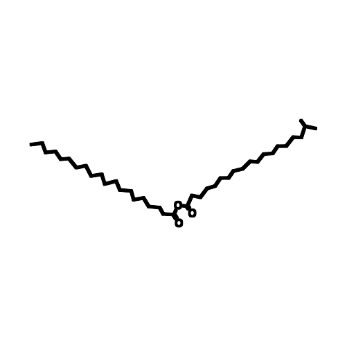 CCCCCCCCCCCCCCCCCCCC(=O)OC(=O)CCCCCCCCCCCCCCCCC(C)C